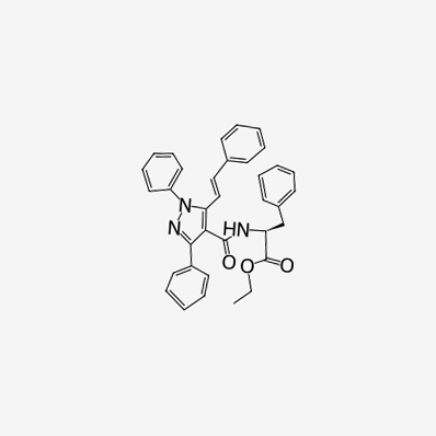 CCOC(=O)[C@H](Cc1ccccc1)NC(=O)c1c(-c2ccccc2)nn(-c2ccccc2)c1/C=C/c1ccccc1